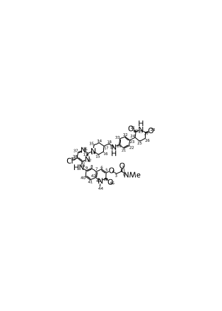 CNC(=O)COc1cc2cc(Nc3nc(N4CCC(CNc5ccc(C6CCC(=O)NC6=O)cc5)CC4)ncc3Cl)ccc2n(C)c1=O